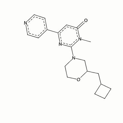 Cn1c(N2CCOC(CC3CCC3)C2)nc(-c2ccncc2)cc1=O